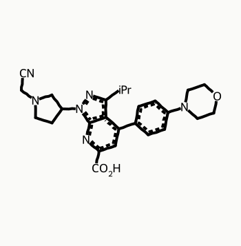 CC(C)c1nn(C2CCN(CC#N)C2)c2nc(C(=O)O)cc(-c3ccc(N4CCOCC4)cc3)c12